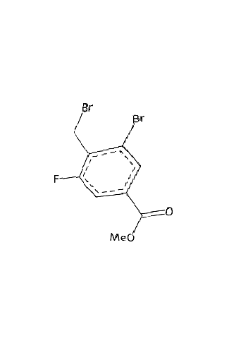 COC(=O)c1cc(F)c(CBr)c(Br)c1